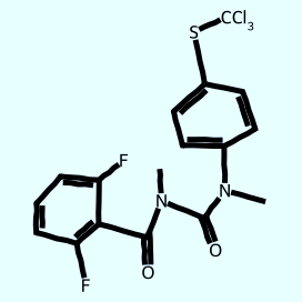 CN(C(=O)c1c(F)cccc1F)C(=O)N(C)c1ccc(SC(Cl)(Cl)Cl)cc1